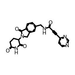 O=C(C#Cc1ccncn1)NCc1ccc2c(c1)CN(C1CCC(=O)NC1=O)C2=O